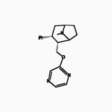 CC(C)[C@@H]1CC2CCC([C@@H]1COc1cnccn1)N2C